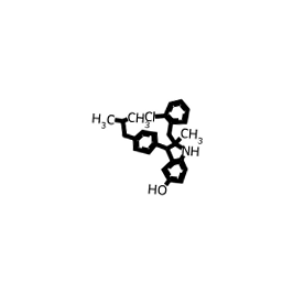 CC(C)Cc1ccc(C2c3cc(O)ccc3NC2(C)Cc2ccccc2Cl)cc1